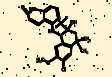 COc1cc2c(cc1Cl)C(C)(C)CC(O)(C(F)(F)F)C2Nc1cccc2[nH]c(=O)ccc12